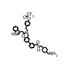 NCC1CCC(CNC(=O)c2cccc(-c3cccc(CN(CCc4ccc(OC(=O)C(F)(F)F)cc4)C(=O)Cc4c[nH]c5ccccc45)c3)c2)CC1